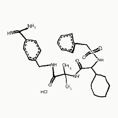 CC(C)(NC(=O)C(NS(=O)(=O)Cc1ccccc1)C1CCCCC1)C(=O)NCc1ccc(C(=N)N)cc1.Cl